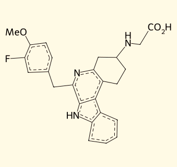 COc1ccc(Cc2nc3c(c4c2[nH]c2ccccc24)CCC(NCC(=O)O)C3)cc1F